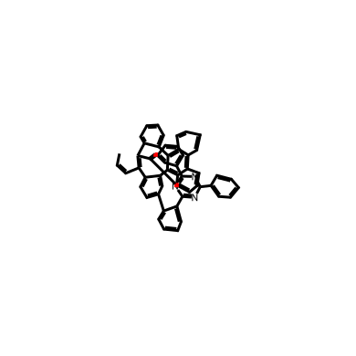 C=c1c2cccc3c4ccccc4c4c5ccccc5c1c(/C=C\C)c1ccc(-c5ccccc5-c5nc(-c6ccccc6)nc(-c6ccccc6)n5)cc1c4c23